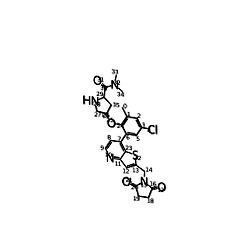 Cc1cc(Cl)cc(-c2ccnc3cc(CN4C(=O)CCC4=O)sc23)c1O[C@@H]1CNC(C(=O)N(C)C)C1